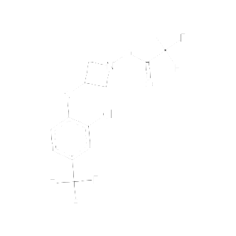 O=C(ON1CC(Sc2ccc(C(F)(F)F)cc2Cl)C1)C(F)(F)F